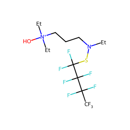 CCN(CCC[N+](O)(CC)CC)SC(F)(F)C(F)(F)C(F)(F)C(F)(F)F